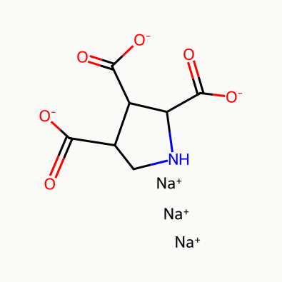 O=C([O-])C1CNC(C(=O)[O-])C1C(=O)[O-].[Na+].[Na+].[Na+]